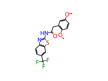 COc1ccc(OC)c(CC(=O)Nc2nc3ccc(C(F)(F)F)cc3s2)c1